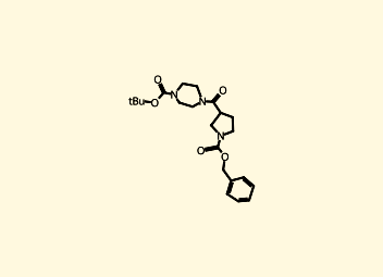 CC(C)(C)OC(=O)N1CCN(C(=O)C2CCN(C(=O)OCc3ccccc3)C2)CC1